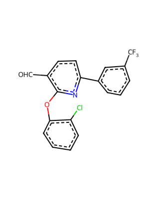 O=Cc1ccc(-c2cccc(C(F)(F)F)c2)nc1Oc1ccccc1Cl